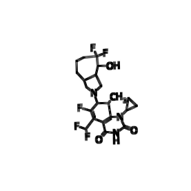 CC1c2c(c(=O)[nH]c(=O)n2C2CC2)C(C(F)F)=C(F)C1N1CC2CCCC(F)(F)C(O)C2C1